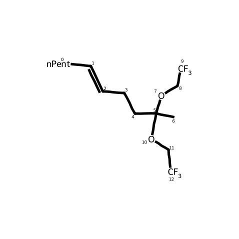 CCCCCC=CCCC(C)(OCC(F)(F)F)OCC(F)(F)F